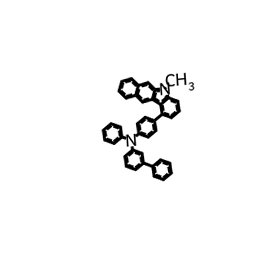 Cn1c2cc3ccccc3cc2c2c(-c3ccc(N(c4ccccc4)c4cccc(-c5ccccc5)c4)cc3)cccc21